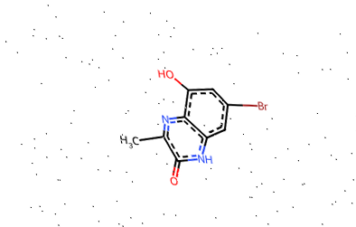 Cc1nc2c(O)cc(Br)cc2[nH]c1=O